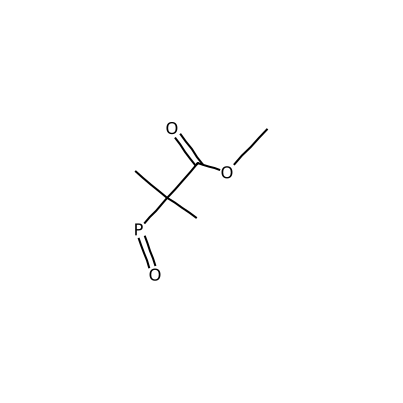 COC(=O)C(C)(C)P=O